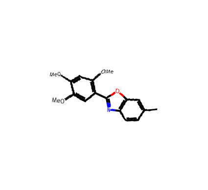 COc1cc(OC)c(-c2nc3ccc(C)cc3o2)cc1OC